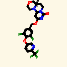 O=c1nc(OCc2cc(F)c(Oc3ccc(C(F)(F)F)nc3)c(F)c2)cc2n1CC[C@H]1COCCN21